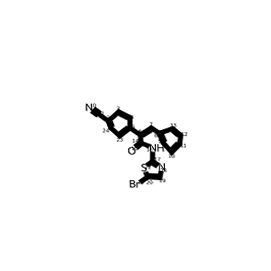 N#Cc1ccc(/C(=C/c2ccccc2)C(=O)Nc2ncc(Br)s2)cc1